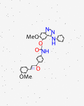 COc1cccc(/C=C/C(=O)c2ccc(NC(=O)COc3cc4c(Nc5ccccc5)ncnc4cc3OC)cc2)c1